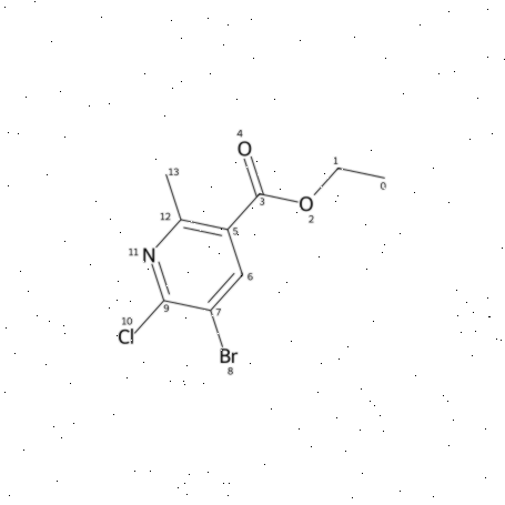 CCOC(=O)c1cc(Br)c(Cl)nc1C